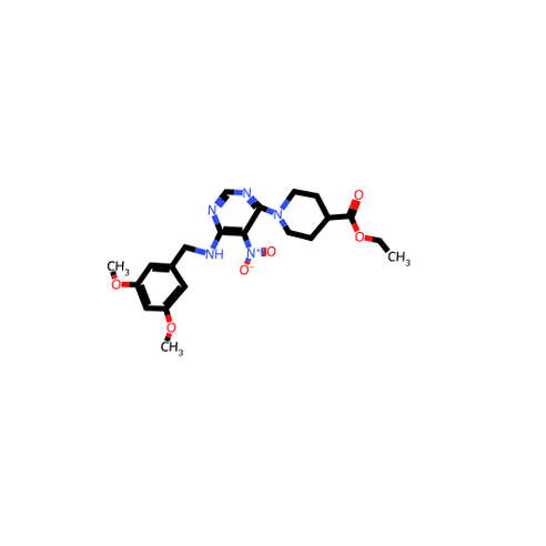 CCOC(=O)C1CCN(c2ncnc(NCc3cc(OC)cc(OC)c3)c2[N+](=O)[O-])CC1